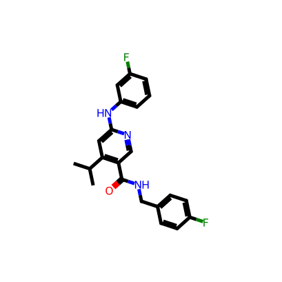 CC(C)c1cc(Nc2cccc(F)c2)ncc1C(=O)NCc1ccc(F)cc1